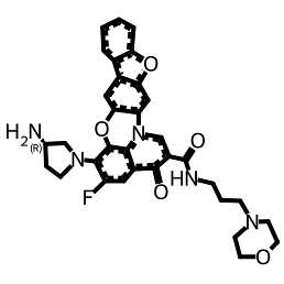 N[C@@H]1CCN(c2c(F)cc3c(=O)c(C(=O)NCCCN4CCOCC4)cn4c3c2Oc2cc3c(cc2-4)oc2ccccc23)C1